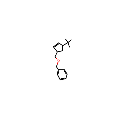 CC(C)(C)C1C=CC(COCc2ccccc2)C1